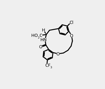 O=C1N[C@H](C(=O)O)Cc2ccc(c(Cl)c2)OCCCCOc2cc(C(F)(F)F)ccc21